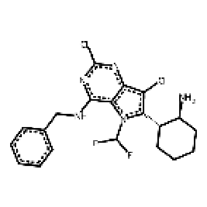 N[C@H]1CCCC[C@@H]1c1c(Cl)c2nc(Cl)nc(NCc3ccccc3)c2n1C(F)F